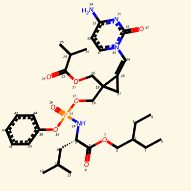 CCC(CC)COC(=O)[C@H](CC(C)C)NP(=O)(OCC1(COC(=O)C(C)C)C/C1=C/n1ccc(N)nc1=O)Oc1ccccc1